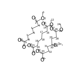 COC(=O)CCCCCC(=O)[O-].COC(=O)CCCCCC(=O)[O-].COC(=O)CCCCCC(=O)[O-].[Bi+3]